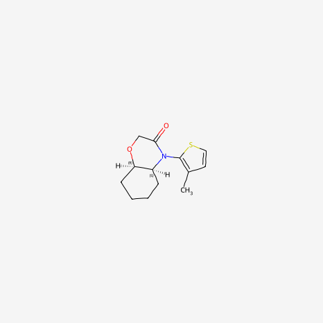 Cc1ccsc1N1C(=O)CO[C@@H]2CCCC[C@@H]21